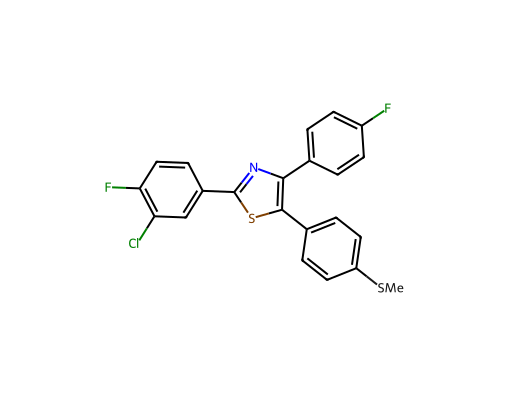 CSc1ccc(-c2sc(-c3ccc(F)c(Cl)c3)nc2-c2ccc(F)cc2)cc1